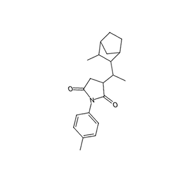 Cc1ccc(N2C(=O)CC(C(C)C3C4CCC(C4)C3C)C2=O)cc1